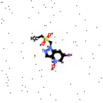 CCS(=O)(=O)Cn1ncc2c1cc(I)c[n+]2[O-]